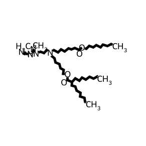 CCCCCCCCCOC(=O)CCCCCCCN(CCCCCCCOC(=O)C(CCCCCCCC)CCCCCCCC)CCCN/C(=N/C#N)N(C)C